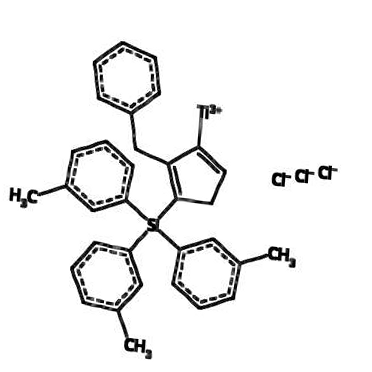 Cc1cccc([Si](C2=C(Cc3ccccc3)[C]([Ti+3])=CC2)(c2cccc(C)c2)c2cccc(C)c2)c1.[Cl-].[Cl-].[Cl-]